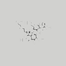 CO[C@@H]1C(C(=O)NCCOCCO)O[C@@H](O[C@@H]2C(NC(C)=O)[C@H](C)OC(CO)[C@H]2O)C(O)[C@H]1O